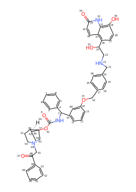 O=C(NC(c1ccccc1)c1cccc(OCc2ccc(CNCC(O)c3ccc(O)c4[nH]c(=O)ccc34)cc2)c1)O[C@H]1C[N+]2(CC(=O)c3ccccc3)CCC1CC2